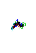 O=C(COCC(F)(F)F)Nc1c(F)ccc(NC(=O)c2cc(NC(=O)C3[C@H](c4ccc(Cl)c(Cl)c4)C3(Cl)Cl)ccc2Cl)c1F